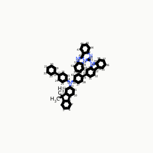 CC1(C)c2ccccc2-c2ccc(N(c3ccc(-c4ccccc4)cc3)c3ccc(-c4ccc5c6ccccc6n(-c6nc7ccccc7c7nc8ccccc8n67)c5c4)cc3)cc21